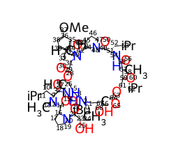 CC[C@H](C)[C@H]1NC(=O)C(NC(=O)C(CC(C)C)N(C)C(=O)[C@@H]2CCCN2C(=O)[C@H](C)O)[C@@H](C)OC(=O)[C@H](Cc2ccc(OC)cc2)N(C)C(=O)[C@@H]2CCCN2C(=O)[C@H](CC(C)C)NC(=O)[C@@H](C)C(=O)[C@H](C(C)C)OC(=O)C[C@@H]1O